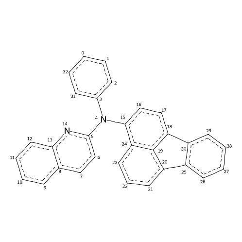 c1ccc(N(c2ccc3ccccc3n2)c2ccc3c4c(cccc24)-c2ccccc2-3)cc1